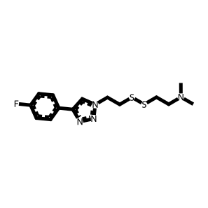 CN(C)CCSSCCn1cc(-c2ccc(F)cc2)nn1